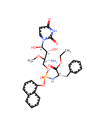 CCOC(=O)[C@H](Cc1ccccc1)NP(=O)(OC[C@@](N)(OC)[C@@H](O)[C@@H](O)n1ccc(=O)[nH]c1=O)Oc1cccc2ccccc12